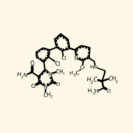 COc1nc(-c2cccc(-c3cccc(-c4c(C(N)=O)c(=O)n(C)c(=O)n4C)c3Cl)c2Cl)ccc1CNCC(C)(C)C(N)=O